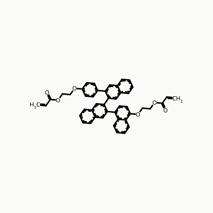 C=CC(=O)OCCOc1ccc(-c2cc3ccccc3cc2-c2cc3ccccc3cc2-c2ccc(OCCOC(=O)C=C)c3ccccc23)cc1